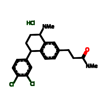 CNC(=O)CCc1ccc2c(c1)C(NC)CCC2c1ccc(Cl)c(Cl)c1.Cl